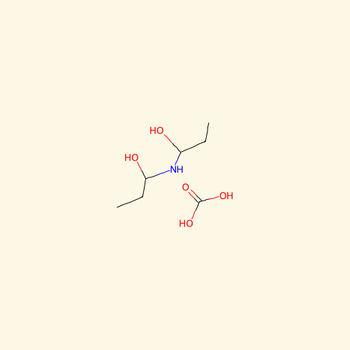 CCC(O)NC(O)CC.O=C(O)O